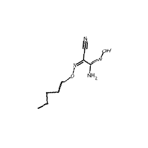 CCCCCO/N=C(C#N)\C(N)=N/O